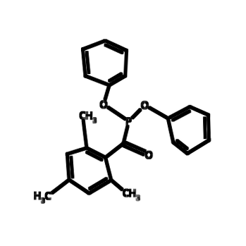 Cc1cc(C)c(C(=O)P(Oc2ccccc2)Oc2ccccc2)c(C)c1